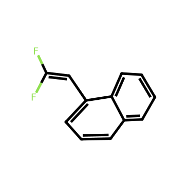 FC(F)=Cc1cccc2ccccc12